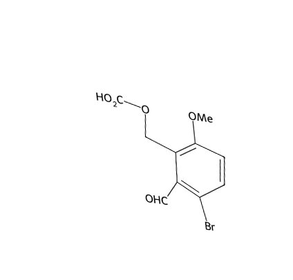 COc1ccc(Br)c(C=O)c1COC(=O)O